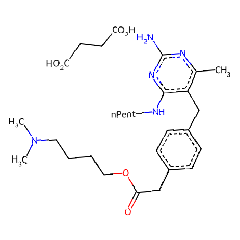 CCCCCNc1nc(N)nc(C)c1Cc1ccc(CC(=O)OCCCCN(C)C)cc1.O=C(O)CCC(=O)O